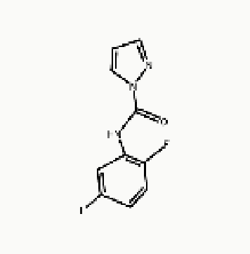 O=C(Nc1cc(F)ccc1F)n1cc[c]n1